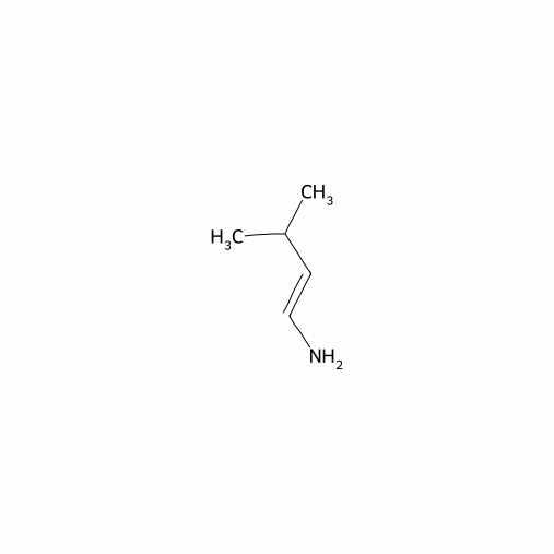 CC(C)/C=C/N